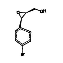 OC[C@@H]1O[C@@H]1c1ccc(Br)cc1